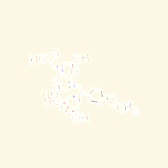 CCOc1ccc(C(CN(CCN(CC(=O)O)CC(=O)O)CC(=O)O)N(CC(=O)O)CC(=O)O)cc1